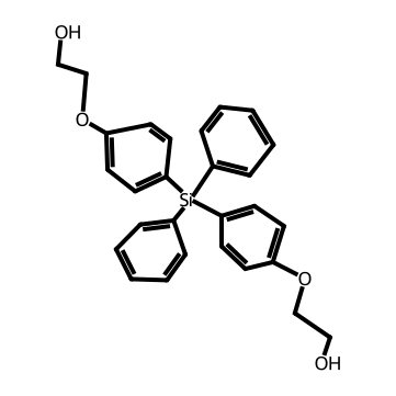 OCCOc1ccc([Si](c2ccccc2)(c2ccccc2)c2ccc(OCCO)cc2)cc1